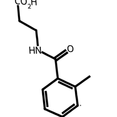 Cc1[c]cccc1C(=O)NCCC(=O)O